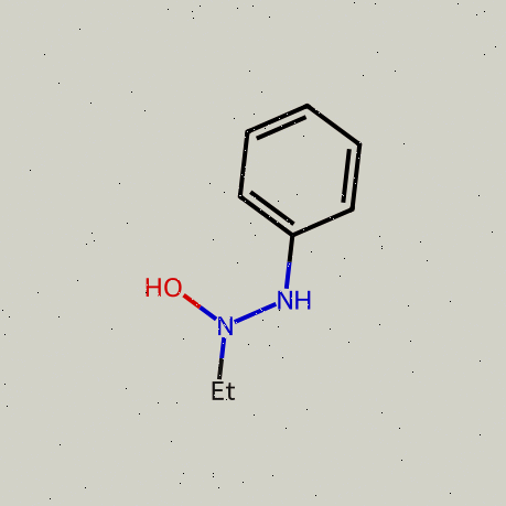 CCN(O)Nc1ccccc1